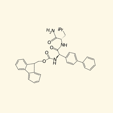 CC(C)C[C@H](NC(=O)[C@H](NC(=O)OCC1c2ccccc2-c2ccccc21)c1ccc(-c2ccccc2)cc1)C(N)=O